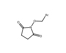 CC(=O)CON1C(=O)CCC1=O